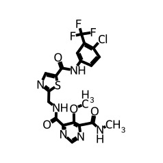 CNC(=O)c1ncnc(C(=O)NCc2ncc(C(=O)Nc3ccc(Cl)c(C(F)(F)F)c3)s2)c1OC